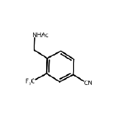 CC(=O)NCc1ccc(C#N)cc1C(F)(F)F